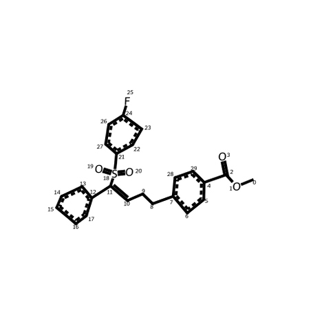 COC(=O)c1ccc(CCC=C(c2ccccc2)S(=O)(=O)c2ccc(F)cc2)cc1